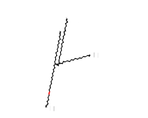 CCCCCCCCCCCCCCCCCCCCCCC(CCCCCCCCCCCCCCCC)C(=O)C(CCCCCCCCCCCCCCCC)CCCCCCCCCCCCCCCCCCCCCC